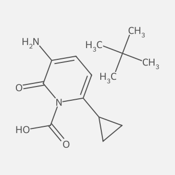 CC(C)(C)C.Nc1ccc(C2CC2)n(C(=O)O)c1=O